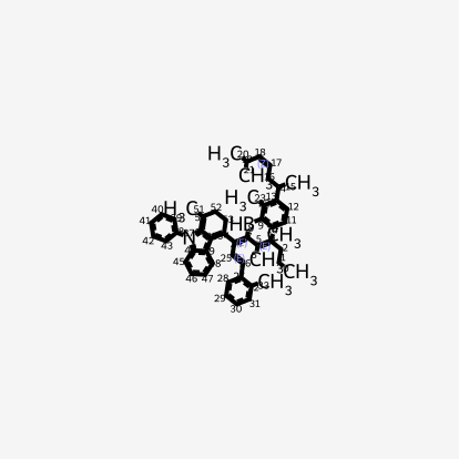 CCC/C(C)=C(C)/C(Bc1cccc(C(C)C/C=C\C(C)C)c1C)=C(\C=C\c1ccccc1C)C1=c2c(n(-c3ccccc3)c3ccccc23)=C(C)CC1